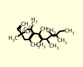 C=CC(C)(C)CC(C)=C([C](C)C)C(C)=C(C)C(C)C(C)=C(C)CC